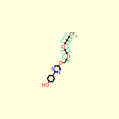 Oc1ccc(-c2ncc(OCC(F)(F)OC(F)(F)C(F)(F)OC(F)(F)C(F)(F)C(F)(F)C(F)(F)F)cn2)cc1